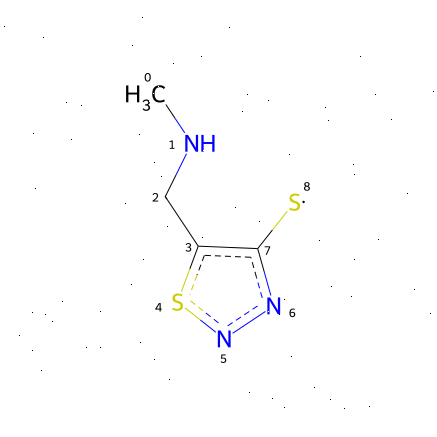 CNCc1snnc1[S]